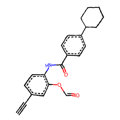 C#Cc1ccc(NC(=O)c2ccc(C3CCCCC3)cc2)c(OC=O)c1